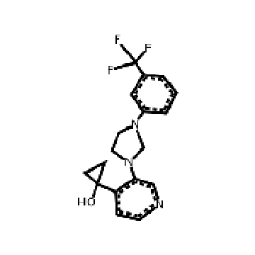 OC1(c2ccncc2N2CCN(c3cccc(C(F)(F)F)c3)C2)CC1